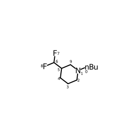 CCCCN1CCCC(C(F)F)C1